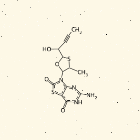 CC#CC(O)C1OC(n2c(=O)sc3c(=O)[nH]c(N)nc32)C(C)S1